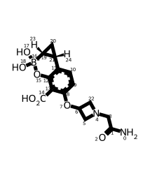 NC(=O)CN1CC(Oc2ccc3c(c2C(=O)O)O[B-](O)(O)[C@@H]2C[C@H]32)C1